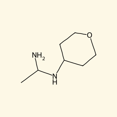 CC(N)NC1CCOCC1